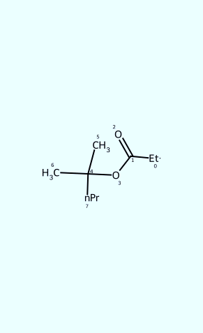 C[CH]C(=O)OC(C)(C)CCC